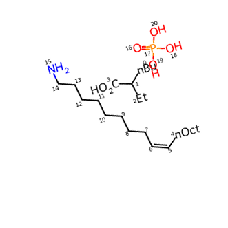 CCCCC(CC)C(=O)O.CCCCCCCC/C=C\CCCCCCCCN.O=P(O)(O)O